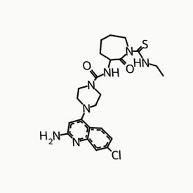 CCNC(=S)N1CCCCC(NC(=O)N2CCN(c3cc(N)nc4cc(Cl)ccc34)CC2)C1=O